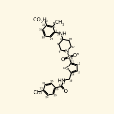 Cc1c(NC2CCN(S(=O)(=O)c3ccc(CNC(=O)c4ccc(Cl)cc4)s3)CC2)cccc1C(=O)O